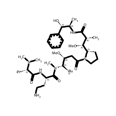 CC[C@H](C)[C@@H]([C@@H](CC(=O)N1CCC[C@H]1[C@H](OC)[C@@H](C)C(=O)N[C@H](C)[C@@H](O)c1ccccc1)OC)N(C)C(=O)[C@H](CCN)NC(=O)[C@H](C(C)C)N(C)C